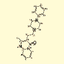 Cc1nc2ccccn2c(=O)c1CCN1CCN(c2ccccc2)CC1